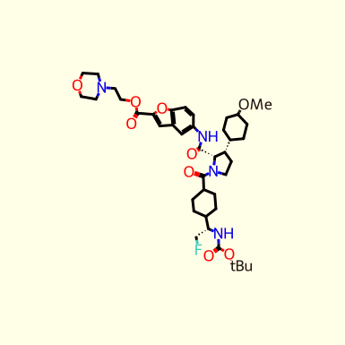 COC1CCC([C@@H]2CCN(C(=O)C3CCC([C@@H](CF)NC(=O)OC(C)(C)C)CC3)[C@@H]2C(=O)Nc2ccc3oc(C(=O)OCCN4CCOCC4)cc3c2)CC1